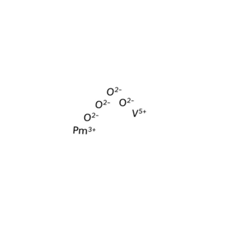 [O-2].[O-2].[O-2].[O-2].[Pm+3].[V+5]